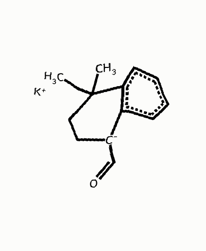 CC1(C)CC[C-](C=O)c2ccccc21.[K+]